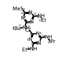 CCNc1nc(Cl)nc(NC(C)C)n1.CCNc1nc(NC(C)(C)C)nc(SC)n1